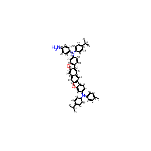 Cc1ccc(N(c2ccc3c(c2)oc2cc4cc5oc6cc(N(c7ccc(N)cc7)c7ccc(C(C)C)cc7)ccc6c5cc4cc23)C2C=CC(C(C)C)=CC2)cc1